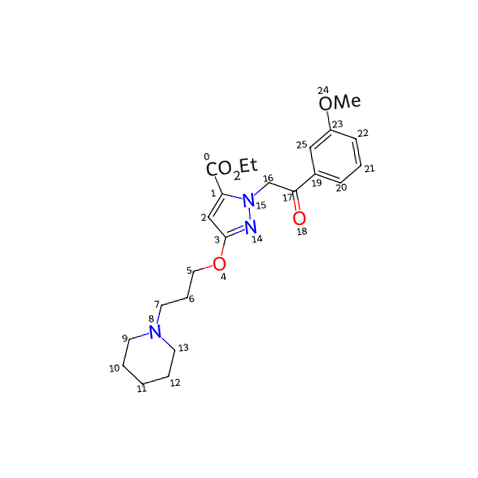 CCOC(=O)c1cc(OCCCN2CCCCC2)nn1CC(=O)c1cccc(OC)c1